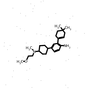 COCCN(C)C1CCC(c2ccc(N)c(C3=CCC(C)(C)CC3)c2)CC1